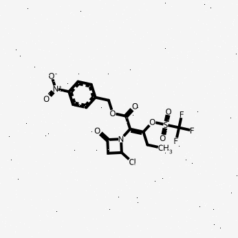 CCC(OS(=O)(=O)C(F)(F)F)=C(C(=O)OCc1ccc([N+](=O)[O-])cc1)N1C(=O)CC1Cl